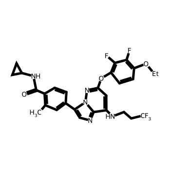 CCOc1ccc(Oc2cc(NCCC(F)(F)F)c3ncc(-c4ccc(C(=O)NC5CC5)c(C)c4)n3n2)c(F)c1F